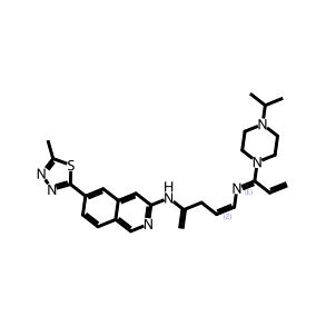 C=C/C(=N\C=C/CC(=C)Nc1cc2cc(-c3nnc(C)s3)ccc2cn1)N1CCN(C(C)C)CC1